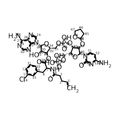 C=CCCC(=O)NC(Cc1cccc(Cl)c1)C(=O)O[C@H]1[C@@H](O)[C@H](n2cnc3c(N)ncnc32)O[C@H]1COP(=O)(O)O[C@H]1[C@@H](O[C@@H]2CCCO2)[C@H](n2ccc(N)nc2=O)O[C@@H]1COP(=O)(O)O